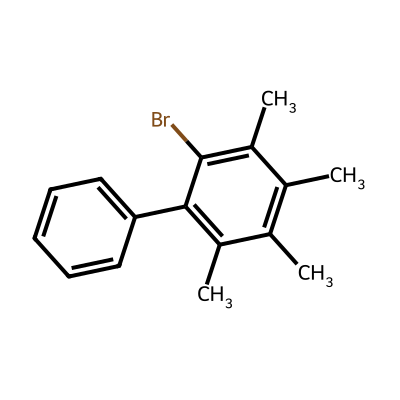 Cc1c(C)c(C)c(-c2ccccc2)c(Br)c1C